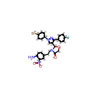 Nc1ccc(CCN2C(=O)COC2c2cn(-c3ccc(Br)cc3)nc2-c2ccc(F)cc2)cc1[N+](=O)[O-]